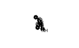 Cn1c(=O)n(CC(=O)c2ccccc2)c(=O)c2c1nc(N1CCNCC1)n2-c1ccccc1Cl